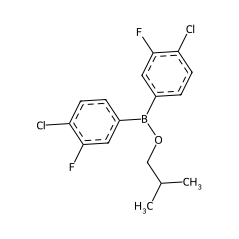 CC(C)COB(c1ccc(Cl)c(F)c1)c1ccc(Cl)c(F)c1